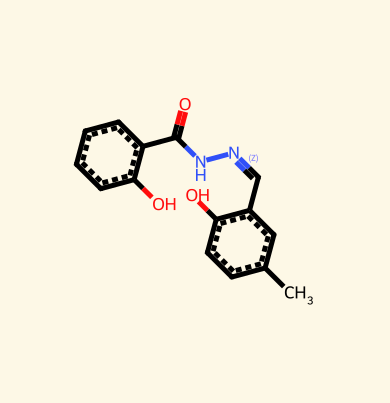 Cc1ccc(O)c(/C=N\NC(=O)c2ccccc2O)c1